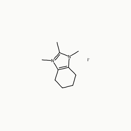 Cc1n(C)c2c([n+]1C)CCCC2.[I-]